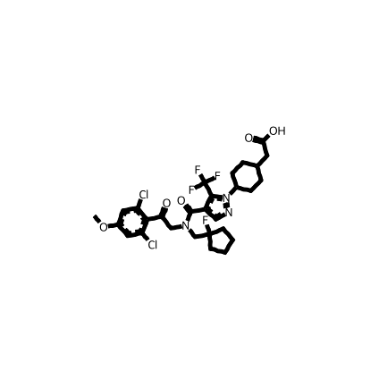 COc1cc(Cl)c(C(=O)CN(CC2(F)CCCC2)C(=O)c2cnn(C3CCC(CC(=O)O)CC3)c2C(F)(F)F)c(Cl)c1